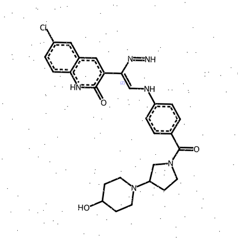 N=N/C(=C\Nc1ccc(C(=O)N2CCC(N3CCC(O)CC3)C2)cc1)c1cc2cc(Cl)ccc2[nH]c1=O